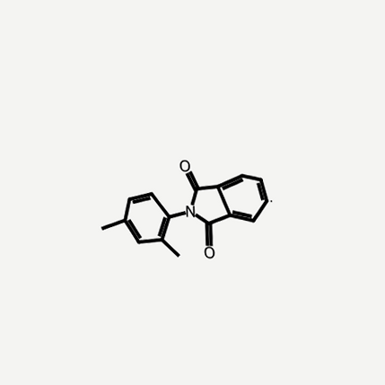 Cc1ccc(N2C(=O)c3c[c]ccc3C2=O)c(C)c1